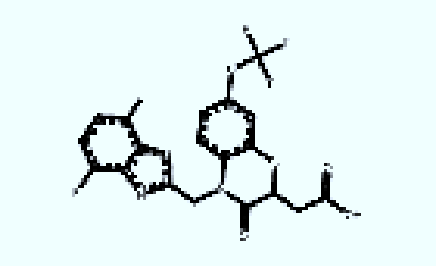 O=C(O)CC1Sc2cc(OC(F)(F)F)ccc2N(Cc2nc3c(F)ccc(F)c3s2)C1=O